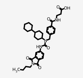 CCCCN1C(=O)c2ccc(NC(=O)N(Cc3ccc(C(=O)NCCC(=O)O)cc3)C3CCC(C4CCCCC4)CC3)cc2C1=O